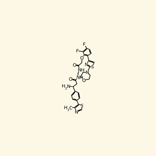 Cc1ncsc1-c1ccc([C@@H](N)CC(=O)NCNC(=O)COc2c(-c3csc(N4CCOCC4)n3)ccc(F)c2F)cc1